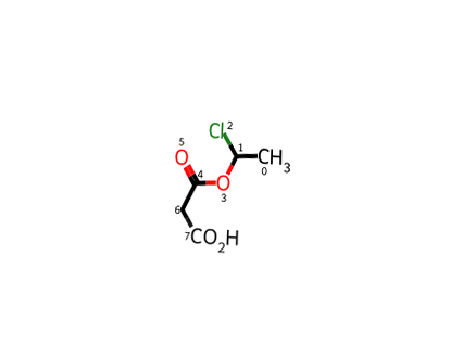 CC(Cl)OC(=O)CC(=O)O